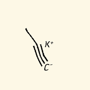 [C-]#CC.[K+]